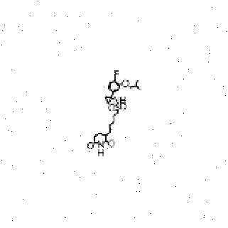 CC(C)COc1cc(C2(NS(=O)(=O)CCCCCC3CCC(=O)NC3=O)CC2)ccc1F